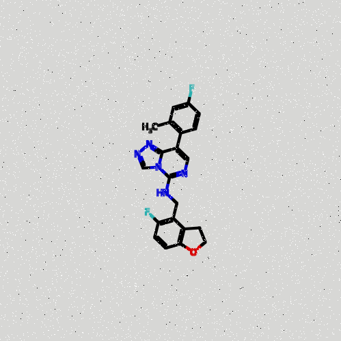 Cc1cc(F)ccc1-c1cnc(NCc2c(F)ccc3c2CCO3)n2cnnc12